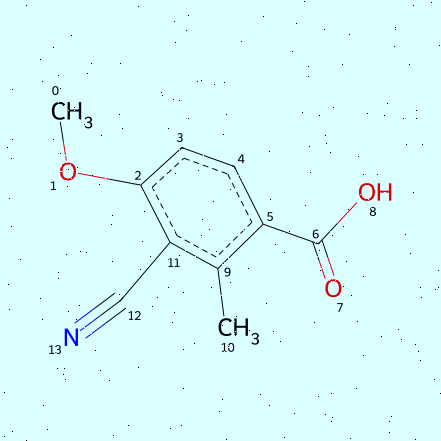 COc1ccc(C(=O)O)c(C)c1C#N